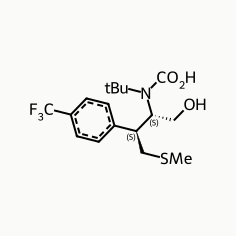 CSC[C@@H](c1ccc(C(F)(F)F)cc1)[C@@H](CO)N(C(=O)O)C(C)(C)C